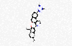 CC(C)Cc1ccc2c(CC(C)(C)C)c3c(cc2c1)-c1nccc2c1c(cc1ccc(-c4nc(C(C)(C)C)nc(C(C)(C)C)n4)cc12)O3